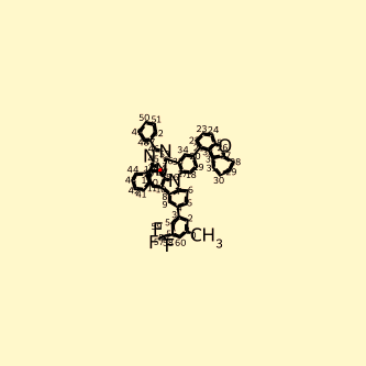 Cc1cc(-c2ccc3c(c2)c2ccccc2n3-c2ccc(-c3cccc4oc5ccccc5c34)cc2-c2nc(-c3ccccc3)nc(-c3ccccc3)n2)cc(C(F)(F)F)c1